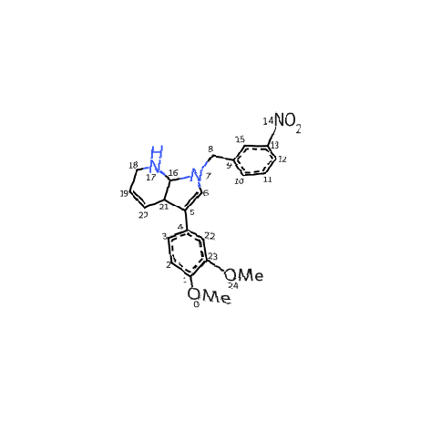 COc1ccc(C2=CN(Cc3cccc([N+](=O)[O-])c3)C3NCC=CC23)cc1OC